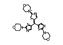 C1=NC(=[N+]2CCOCC2)SC1=C(c1cnc(N2CCOCC2)s1)c1cnc(N2CCOCC2)s1